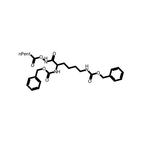 CCCCCC(=O)ONC(=O)C(CCCCNC(=O)OCc1ccccc1)NC(=O)OCc1ccccc1